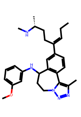 CC/C=C(\CC[C@@H](C)NC)c1ccc2c(c1)C(Nc1cccc(OC)c1)CCn1nnc(C)c1-2